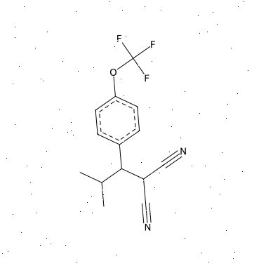 CC(C)C(c1ccc(OC(F)(F)F)cc1)C(C#N)C#N